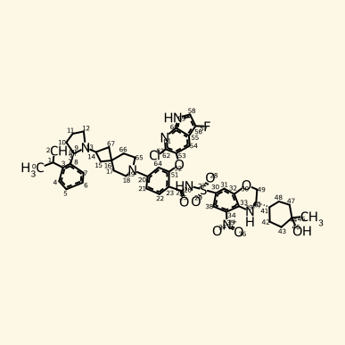 CC(C)c1ccccc1[C@H]1CCCN1C1CC2(CCN(c3ccc(C(=O)NS(=O)(=O)c4cc5c(c([N+](=O)[O-])c4)N[C@@H](C4CCC(C)(O)CC4)CO5)c(Oc4cc5c(F)c[nH]c5nc4Cl)c3)CC2)C1